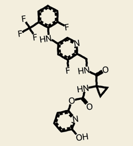 O=C(NC1(C(=O)NCc2ncc(Nc3c(F)cccc3C(F)(F)F)cc2F)CC1)Oc1cccc(O)n1